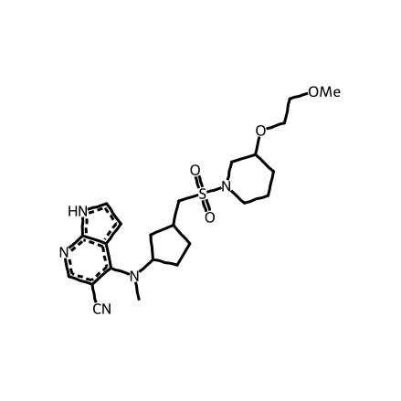 COCCOC1CCCN(S(=O)(=O)CC2CCC(N(C)c3c(C#N)cnc4[nH]ccc34)C2)C1